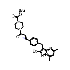 CCc1nn2c(C)cc(C)nc2c1Cc1ccc(/C=C/C(=O)N2CCN(C(=O)OC(C)(C)C)CC2)cc1